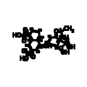 CC(=O)NC1([As](=O)(O)OO)C=CC=CC1.O=S(=O)(O)c1cc(O)c2cccc(S(=O)(=O)O)c2c1